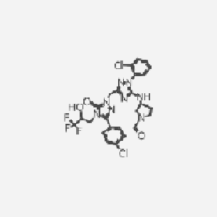 O=CN1CCC(Nc2nc(Cn3nc(-c4ccc(Cl)cc4)n(CC(O)C(F)(F)F)c3=O)nn2-c2ccccc2Cl)C1